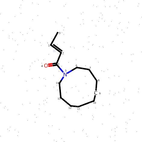 C/C=C/C(=O)N1CCCCCCCCC1